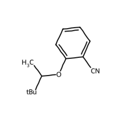 CC(Oc1ccccc1C#N)C(C)(C)C